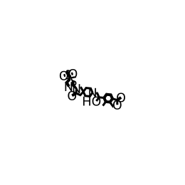 Cc1c(C(O)CN2CCC3(CC2)CC(=O)N(c2ncc(S(C)(=O)=O)s2)C3)ccc2c1COC2=O